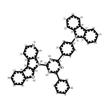 c1ccc(-c2nc(-c3ccc(-n4c5ccccc5c5ccccc54)cc3)nc(-n3c4cnccc4c4c5ccccc5oc43)n2)cc1